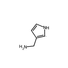 NCc1[c][nH]cc1